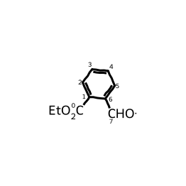 CCOC(=O)c1ccccc1[C]=O